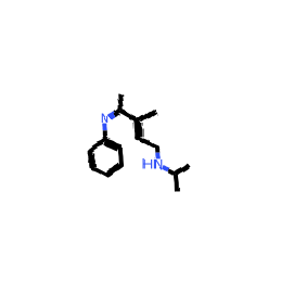 CC(=CCNC(C)C)C(C)=Nc1ccccc1